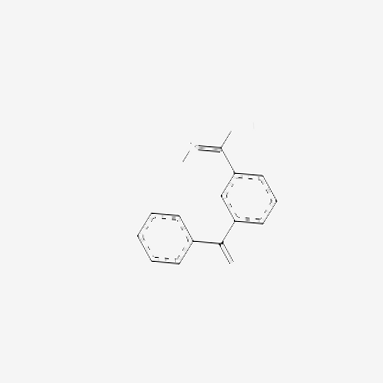 CCOC(=O)/C(=N/O)c1cccc(C(=O)c2ccccc2)c1